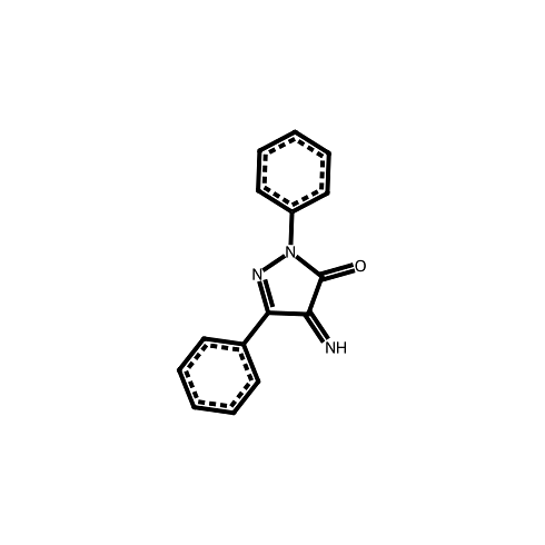 N=C1C(=O)N(c2ccccc2)N=C1c1ccccc1